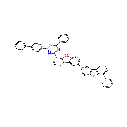 C1=C(c2ccccc2)c2sc3ccc(-c4ccc5oc6c(-c7nc(-c8ccccc8)nc(-c8ccc(-c9ccccc9)cc8)n7)cccc6c5c4)cc3c2CC1